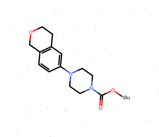 CC(C)(C)OC(=O)N1CCN(c2ccc3c(c2)CCOC3)CC1